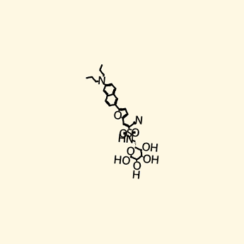 CCCN(CCC)c1ccc2cc(-c3ccc(/C=C(\C#N)S(=O)(=O)NC[C@H]4OC(O)[C@H](O)[C@@H](O)[C@@H]4O)o3)ccc2c1